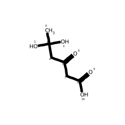 CC(O)(O)CC(=O)CC(=O)O